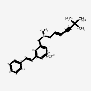 CN(CC=CC#CC(C)(C)C)Cc1cccc(C=Cc2ccccc2)c1.Cl